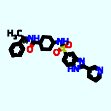 C[C@@H](NC(=O)C1CCC(NS(=O)(=O)c2ccc3[nH]c(-c4cccnc4)nc3c2)CC1)c1ccccc1